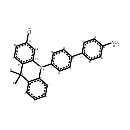 CC1(C)c2ccccc2N(c2ccc(-c3ccc([N+](=O)[O-])cc3)cc2)c2cc(Cl)ccc21